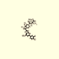 COC(=O)C(C)(C)NC(=O)N1CCN(C(=O)c2cc3nc(-c4ccc(Cl)c(F)c4)cc(C(C)(C)C)c3o2)C(C)(C)C1